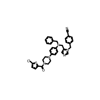 N#Cc1ccc(Cn2cncc2CN(Cc2ccccc2)c2ccc(N3CCN(C(=O)c4ccc(Cl)s4)CC3)cc2)cc1